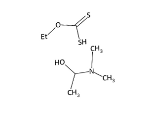 CC(O)N(C)C.CCOC(=S)S